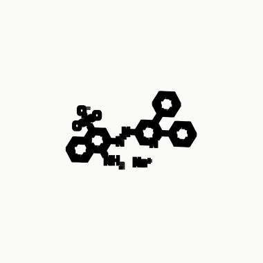 Nc1c(N=Nc2cnc(-c3ccccc3)c(-c3ccccc3)c2)cc(S(=O)(=O)[O-])c2ccccc12.[Na+]